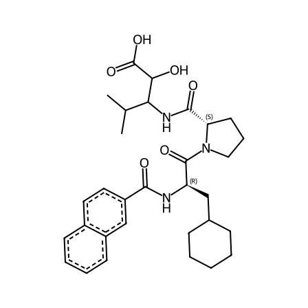 CC(C)C(NC(=O)[C@@H]1CCCN1C(=O)[C@@H](CC1CCCCC1)NC(=O)c1ccc2ccccc2c1)C(O)C(=O)O